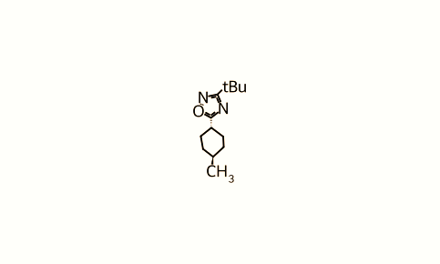 CC(C)(C)c1noc([C@H]2CC[C@H](C)CC2)n1